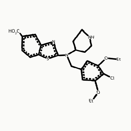 CCOc1cc(CN(c2nc3cc(C(=O)O)ccc3s2)C2CCNCC2)cc(OCC)c1Cl